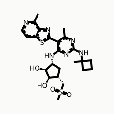 Cc1nc(NC2(C)CCC2)nc(N[C@@H]2C[C@H](CS(C)(=O)=O)[C@@H](O)[C@H]2O)c1-c1nc2c(C)nccc2s1